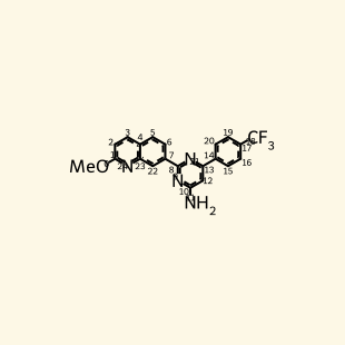 COc1ccc2ccc(-c3nc(N)cc(-c4ccc(C(F)(F)F)cc4)n3)cc2n1